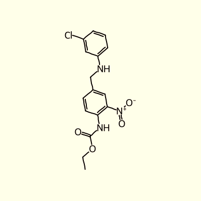 CCOC(=O)Nc1ccc(CNc2cccc(Cl)c2)cc1[N+](=O)[O-]